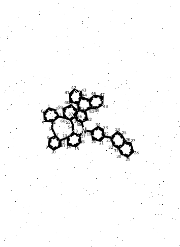 c1ccc2c(c1)Cc1ccccc1-c1cccc(N(c3ccc(-c4ccc5ccccc5c4)cc3)c3ccc4c5ccccc5c5ccccc5c4c3)c1Cc1ccccc1-2